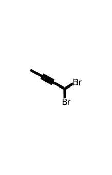 CC#CC(Br)Br